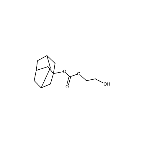 O=C(OCCO)OC12CC3CC(CC(C3)C1)C2